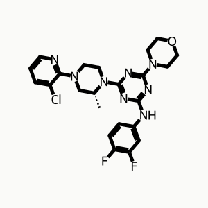 C[C@@H]1CN(c2ncccc2Cl)CCN1c1nc(Nc2ccc(F)c(F)c2)nc(N2CCOCC2)n1